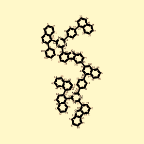 c1ccc(-c2ccc3ccccc3c2-c2nc(-c3ccc(-c4cccc5ccccc45)cc3)nc(-c3cccc4c3sc3ccc(-c5cc(-c6ccc(-c7nc(-c8c(-c9cccc%10ccccc9%10)ccc9ccccc89)nc(-c8cccc9c8sc8ccccc89)n7)cc6)c6ccccc6c5)cc34)n2)cc1